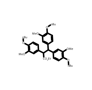 CCCCOc1ccc(C(C(=O)OCC)C(c2ccc(OCCCC)c(OC)c2)c2ccc(OCCCC)c(OC)c2)cc1OC